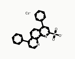 O=S(=O)([O-])c1cc(-c2ccccc2)c2ccc3c(-c4ccccc4)ccnc3c2n1.[Cs+]